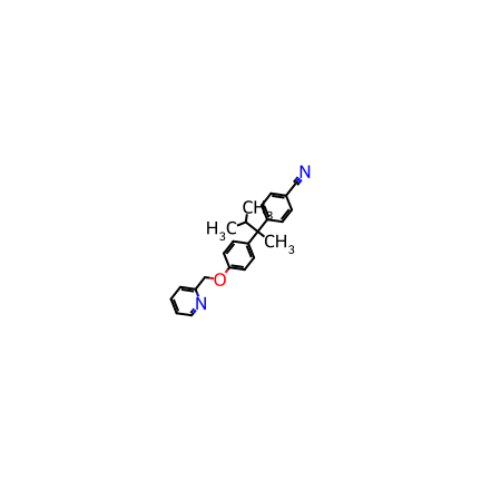 CC(C)C(C)(c1ccc(C#N)cc1)c1ccc(OCc2ccccn2)cc1